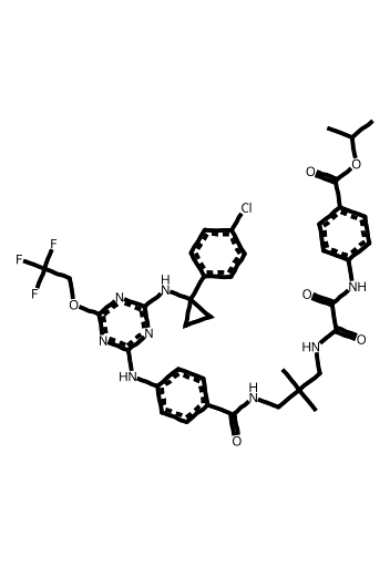 CC(C)OC(=O)c1ccc(NC(=O)C(=O)NCC(C)(C)CNC(=O)c2ccc(Nc3nc(NC4(c5ccc(Cl)cc5)CC4)nc(OCC(F)(F)F)n3)cc2)cc1